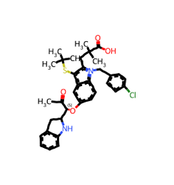 CC(=O)[C@@H](Oc1ccc2c(c1)c(SC(C)(C)C)c(CC(C)(C)C(=O)O)n2Cc1ccc(Cl)cc1)C1Cc2ccccc2N1